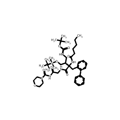 CCCCCC(=O)NC(Cc1ccccc1-c1ccccc1)(C(=O)NCC(=O)NC(=O)N1CCOCC1)C(CNC(=O)OC(C)(C)C)CO[Si](C)(C)C(C)(C)C